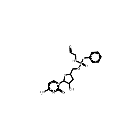 Nc1ccn(C2SC(COP(=O)(NCC=O)Oc3ccccc3)CC2O)c(=O)n1